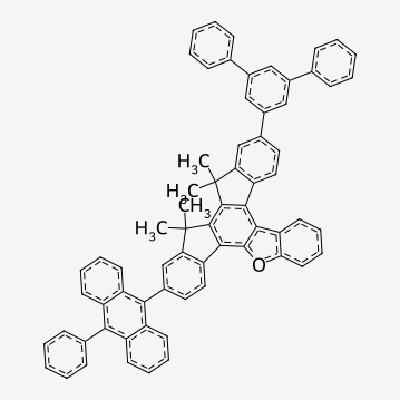 CC1(C)c2cc(-c3c4ccccc4c(-c4ccccc4)c4ccccc34)ccc2-c2c1c1c(c3c2oc2ccccc23)-c2ccc(-c3cc(-c4ccccc4)cc(-c4ccccc4)c3)cc2C1(C)C